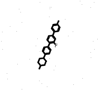 Cc1ccc(-c2ccc(-c3ccc(C4CCC(C)CC4)cc3)c(F)c2)cc1